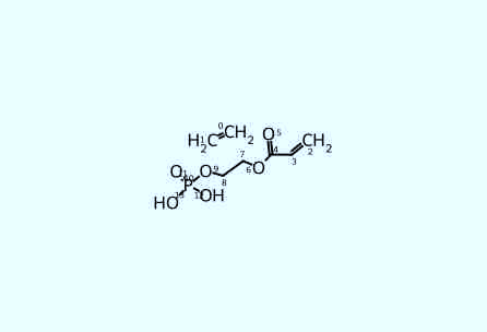 C=C.C=CC(=O)OCCOP(=O)(O)O